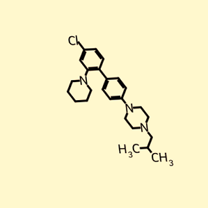 CC(C)CN1CCN(c2ccc(-c3ccc(Cl)cc3N3CCCCC3)cc2)CC1